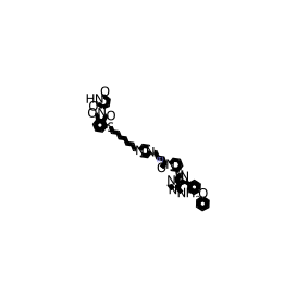 Nc1ncnc2c1c(-c1ccc(Oc3ccccc3)cc1)nn2[C@@H]1CCCN(C(=O)/C=C/CN2CCN(CCCCCCCSc3cccc4c3C(=O)N(C3CCC(=O)NC3=O)C4=O)CC2)C1